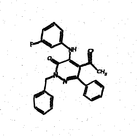 CC(=O)c1c(-c2ccccc2)nn(Cc2ccccc2)c(=O)c1Nc1cccc(F)c1